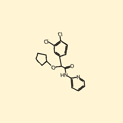 O=C(Nc1ccccn1)C(OC1CCCC1)c1ccc(Cl)c(Cl)c1